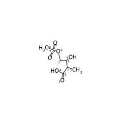 CC(C(=O)O)C(O)COS(C)(=O)=O